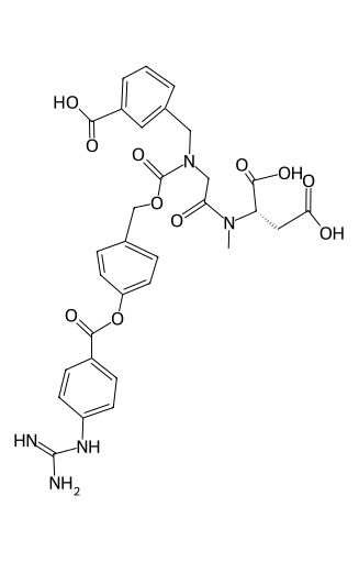 CN(C(=O)CN(Cc1cccc(C(=O)O)c1)C(=O)OCc1ccc(OC(=O)c2ccc(NC(=N)N)cc2)cc1)[C@@H](CC(=O)O)C(=O)O